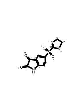 O=C1Nc2ccc(S(=O)(=O)C3=NCCS3)cc2C1=O